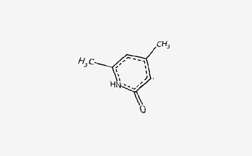 Cc1[c]c(=O)[nH]c(C)c1